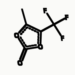 Cc1oc(=O)oc1C(F)(F)F